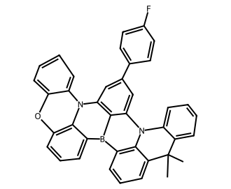 CC1(C)c2ccccc2N2c3cc(-c4ccc(F)cc4)cc4c3B(c3cccc5c3N4c3ccccc3O5)c3cccc1c32